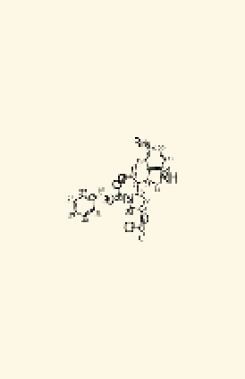 CC(=O)OC1CC(C(C(C)=O)C2CNc3ccc(Br)cc32)N(C(=O)OCc2ccccc2)C1